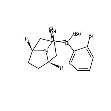 CC(C)(C)OC(=O)N1[C@@H]2CC[C@H]1CC(C#N)(Cc1ccccc1Br)C2